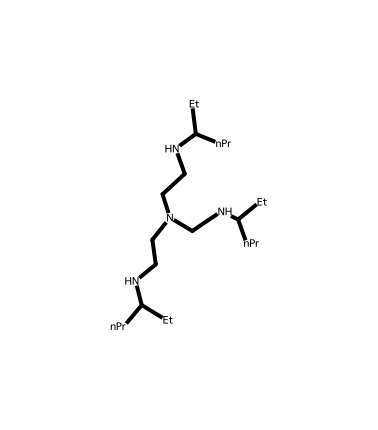 CCCC(CC)NCCN(CCNC(CC)CCC)CNC(CC)CCC